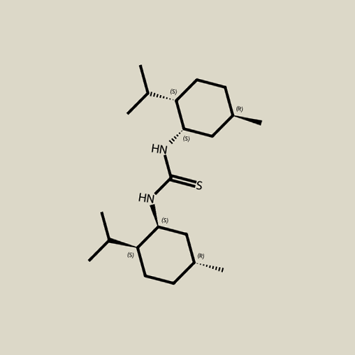 CC(C)[C@@H]1CC[C@@H](C)C[C@@H]1NC(=S)N[C@H]1C[C@H](C)CC[C@H]1C(C)C